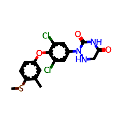 CSc1ccc(Oc2c(Cl)cc(N3NCC(=O)NC3=O)cc2Cl)cc1C